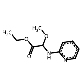 CCOC(=O)C(Nc1ccccn1)OC